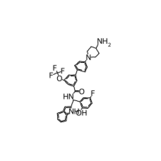 NC1CCN(c2ccc(-c3cc(OC(F)(F)F)cc(C(=O)NC(c4cc5ccccc5[nH]4)c4cc(F)ccc4O)c3)cc2)CC1